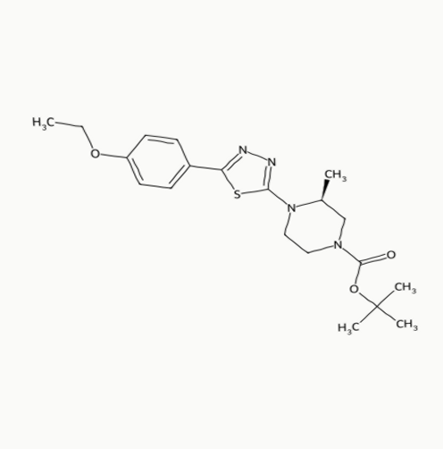 CCOc1ccc(-c2nnc(N3CCN(C(=O)OC(C)(C)C)C[C@@H]3C)s2)cc1